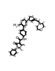 Cc1c(C(=O)Nc2ccc(-c3nc(-c4csc(CN5CCOCC5)c4)cnc3N)cc2)c(=O)n(-c2ccccc2)n1C